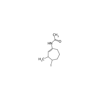 CC(=O)NC1=CC(C)C(I)CCC1